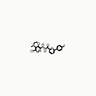 CN1CCOc2c(NNC(=O)c3cccc(-c4ccc(F)cc4)n3)nnc(Cl)c21